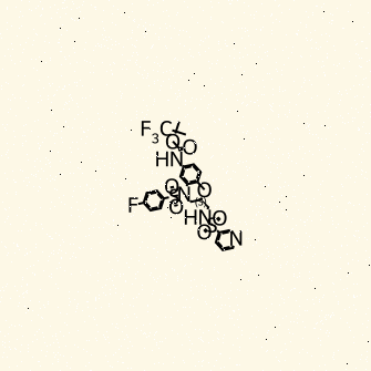 CC(C)(OC(=O)Nc1ccc2c(c1)N(S(=O)(=O)c1ccc(F)cc1)C[C@H](CNS(=O)(=O)c1cccnc1)O2)C(F)(F)F